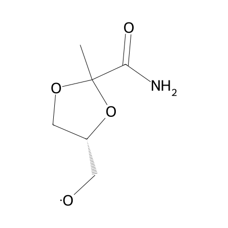 CC1(C(N)=O)OC[C@@H](C[O])O1